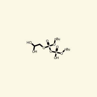 CCCCOP(=O)(O)OP(=O)(OCCCC)OCC(O)O